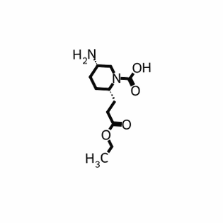 CCOC(=O)CC[C@@H]1CC[C@H](N)CN1C(=O)O